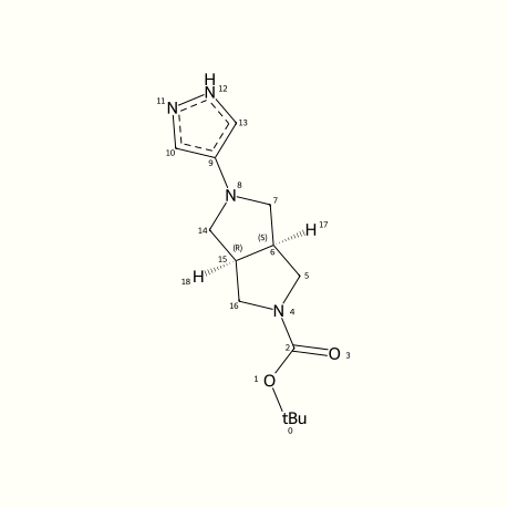 CC(C)(C)OC(=O)N1C[C@@H]2CN(c3cn[nH]c3)C[C@@H]2C1